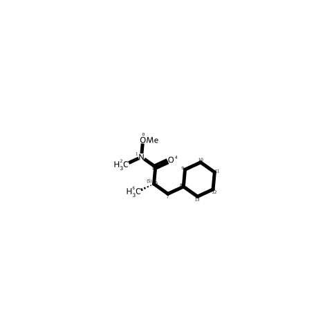 CON(C)C(=O)[C@@H](C)CC1CCCCC1